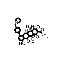 CC12C(=O)C(C(N)=O)=C(O)C(N)[C@@H]1C[C@@H]1Cc3c(-c4ccc(CN5CCCC5)cc4)ccc(O)c3C(=O)C1=C2O